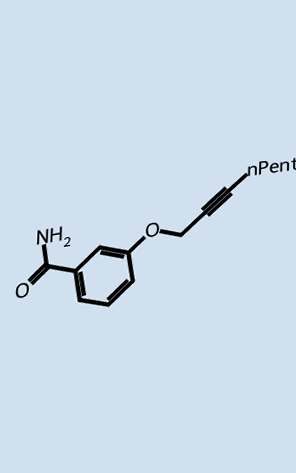 CCCCCC#CCOc1cccc(C(N)=O)c1